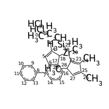 CC.CCC1=Cc2c(-c3ccccc3)cccc2[CH]1[Zr]([CH3])([SiH3])[C]1=C(C)C(C)=CC1C.Cl.Cl